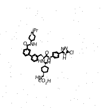 CC(C)N1CCC(NC(=O)c2cccc(-c3cccc(C[C@H](NC(=O)[C@H]4CC[C@H](CNC(=O)O)CC4)C(=O)Nc4ccc(-c5nnc(Cl)[nH]5)cc4)c3)c2)CC1